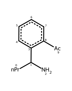 CCCC(N)c1ccccc1C(C)=O